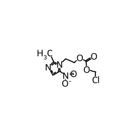 Cc1ncc([N+](=O)[O-])n1CCOC(=O)OCCl